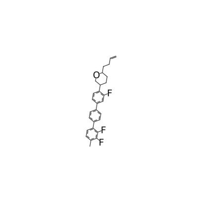 C=CCCC1CCC(c2ccc(-c3ccc(-c4ccc(C)c(F)c4F)cc3)cc2F)CO1